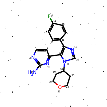 Nc1nccc(-c2c(-c3ccc(F)cc3)ncn2C2CCOCC2)n1